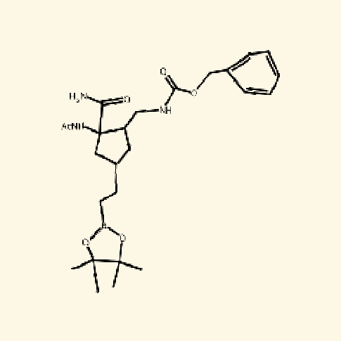 CC(=O)NC1(C(N)=O)CC(CCB2OC(C)(C)C(C)(C)O2)CC1CNC(=O)OCc1ccccc1